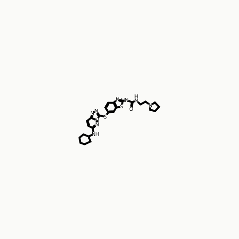 O=C(NCCN1CCCC1)Nc1nc2ccc(Sc3nnc4ccc(NC5CCCCC5)nn34)cc2s1